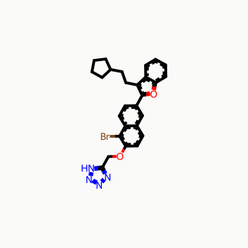 Brc1c(OCc2nnn[nH]2)ccc2cc(-c3oc4ccccc4c3CCC3CCCC3)ccc12